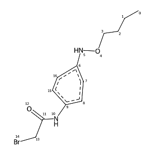 CCCCONc1ccc(NC(=O)CBr)cc1